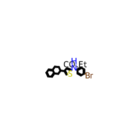 CCOC(=O)c1c(C2CCc3ccccc3C2)csc1Nc1ccc(Br)cc1